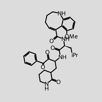 COc1cccc2c1/C(C(=O)N[C@@H](CC(C)C)C(=O)NC(CC1CCCNC1=O)C(=O)C(=O)c1ccccc1)=C\CCCN2